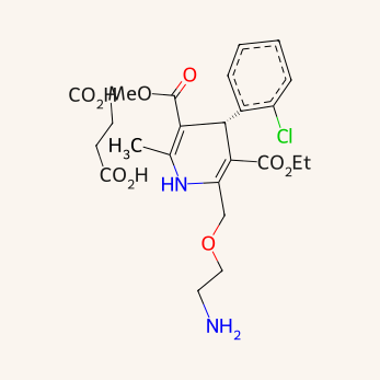 CCOC(=O)C1=C(COCCN)NC(C)=C(C(=O)OC)[C@@H]1c1ccccc1Cl.O=C(O)CCC(=O)O